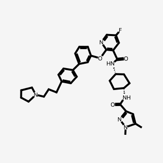 Cc1cc(C(=O)N[C@H]2CC[C@@H](NC(=O)c3cc(F)cnc3Oc3cccc(-c4ccc(CCCN5CCCC5)cc4)c3)CC2)nn1C